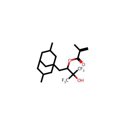 C=C(C)C(=O)OC(CC12CC(C)CC(CC(C)C1)C2)C(O)(C(F)(F)F)C(F)(F)F